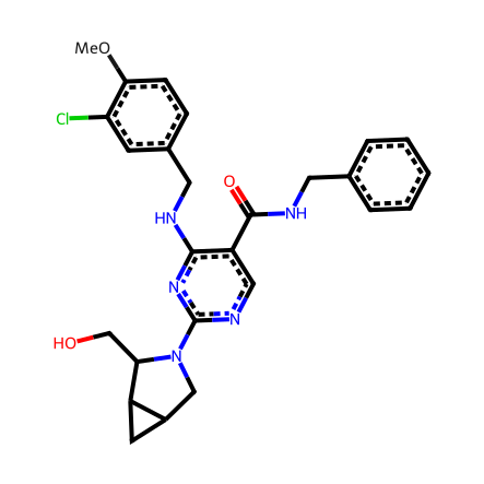 COc1ccc(CNc2nc(N3CC4CC4C3CO)ncc2C(=O)NCc2ccccc2)cc1Cl